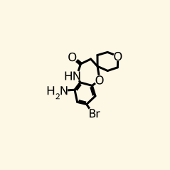 Nc1cc(Br)cc2c1NC(=O)CC1(CCOCC1)O2